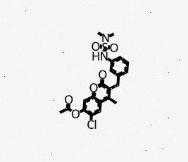 CC(=O)Oc1cc2oc(=O)c(Cc3cccc(NS(=O)(=O)N(C)C)c3)c(C)c2cc1Cl